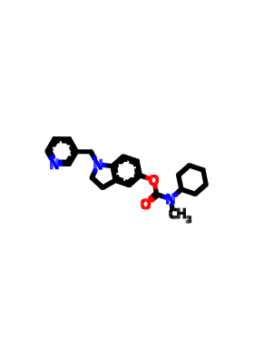 CN(C(=O)Oc1ccc2c(c1)CCN2Cc1cccnc1)C1CCCCC1